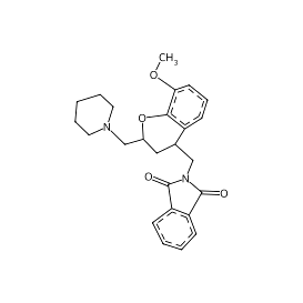 COc1cccc2c1OC(CN1CCCCC1)CC2CN1C(=O)c2ccccc2C1=O